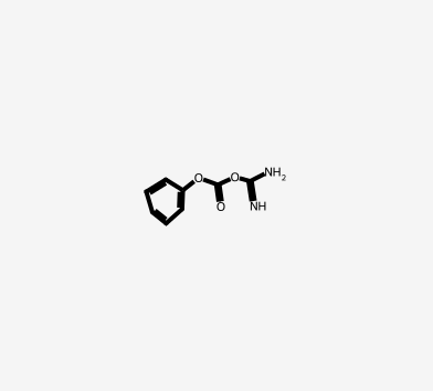 N=C(N)OC(=O)Oc1ccccc1